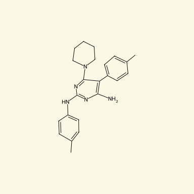 Cc1ccc(Nc2nc(N)c(-c3ccc(C)cc3)c(N3CCCCC3)n2)cc1